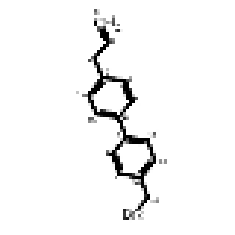 C=CCc1ccc(-c2ccc(CBr)cc2)cc1